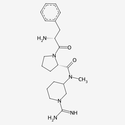 CN(C(=O)[C@@H]1CCCN1C(=O)[C@H](N)Cc1ccccc1)C1CCCN(C(=N)N)C1